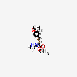 CN[C@@H](CSCc1ccc(OC)cc1)C(=O)OC